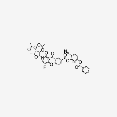 CC(=O)O[C@@H]1[C@H](OC(C)=O)[C@@H](C)O[C@H]1n1cc(F)c(=O)n(C(=O)c2cccc(C(=O)Oc3nc(OC(=O)c4ccccc4)ccc3C#N)c2)c1=O